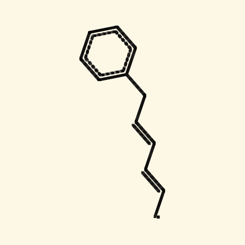 [CH2]C=CC=CCc1ccccc1